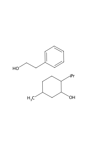 CC1CCC(C(C)C)C(O)C1.OCCc1ccccc1